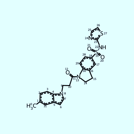 Cc1ccc2c(ccn2CCC(=O)N2CCc3cc(S(=O)(=O)Nc4nccs4)ccc32)c1